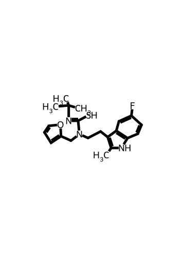 Cc1[nH]c2ccc(F)cc2c1CCN(Cc1ccco1)/C(S)=N/C(C)(C)C